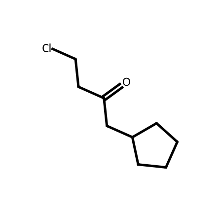 O=C(CCCl)CC1CCCC1